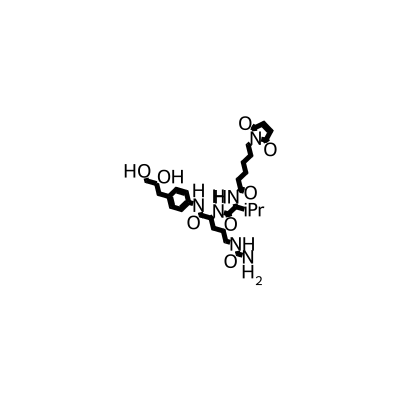 CC(C)C(NC(=O)CCCCCN1C(=O)C=CC1=O)C(=O)NC(CCCNC(N)=O)C(=O)Nc1ccc(CC(O)CO)cc1